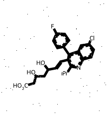 CC(C)c1nc2ccc(Cl)cc2c(-c2ccc(F)cc2)c1C=CC(O)CC(O)CC(=O)O